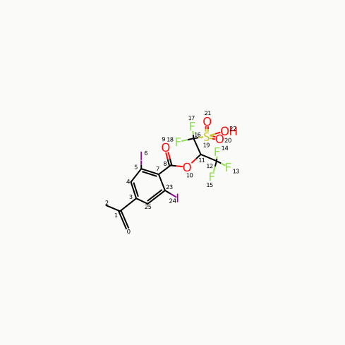 C=C(C)c1cc(I)c(C(=O)OC(C(F)(F)F)C(F)(F)S(=O)(=O)O)c(I)c1